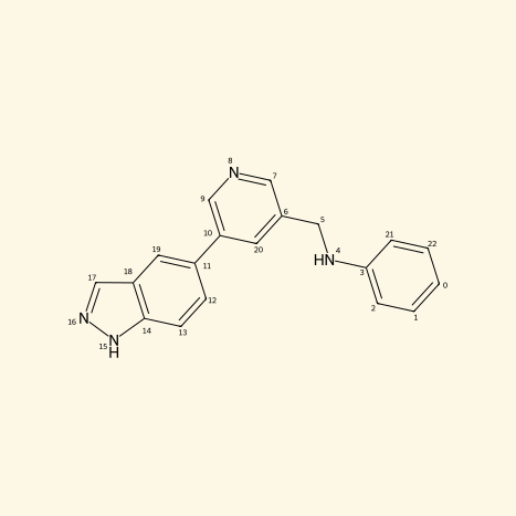 c1ccc(NCc2cncc(-c3ccc4[nH]ncc4c3)c2)cc1